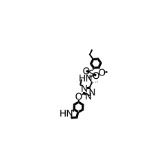 CCc1ccc(OC)c(S(=O)(=O)N[C@H](C)c2nnc(Oc3ccc4cc[nH]c4c3)n2CC)c1